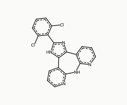 Clc1cccc(Cl)c1-c1nc2c([nH]1)-c1cccnc1Nc1ncccc1-2